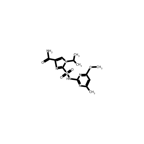 COc1cc(C)nc(NS(=O)(=O)c2nc(C(N)=O)cn2C(C)C)n1